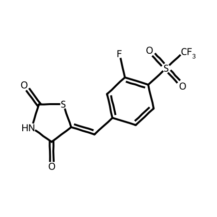 O=C1NC(=O)C(=Cc2ccc(S(=O)(=O)C(F)(F)F)c(F)c2)S1